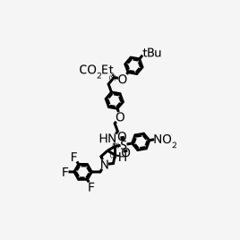 CCOC(=O)[C@H](Cc1ccc(OCCN[C@@]2(S(=O)(=O)c3ccc([N+](=O)[O-])cc3)C3CN(Cc4cc(F)c(F)cc4F)C[C@H]32)cc1)Oc1ccc(C(C)(C)C)cc1